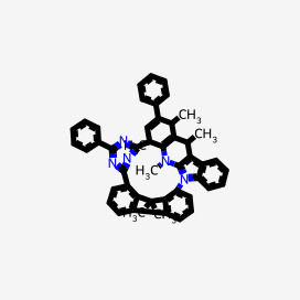 CC1C(c2ccccc2)=CC2(C)C3=C1C(C)c1c(n(c4ccccc14)-c1cccc4c1C(C)(C)c1c(cccc1-4)-c1nc(-c4ccccc4)nc2n1)N3C